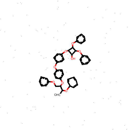 O=CC(OC1C=CC=CC=C1)C(COc1ccccc1)Oc1ccc(Oc2ccc(OC3C(O)C(Oc4ccccc4)C3Oc3ccccc3)cc2)cc1